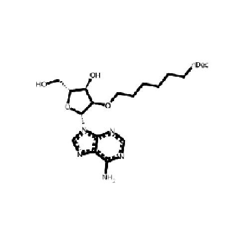 CCCCCCCCCCCCCCCCO[C@@H]1[C@H](O)[C@@H](CO)O[C@H]1n1cnc2c(N)ncnc21